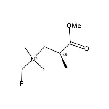 COC(=O)[C@@H](C)C[N+](C)(C)CF